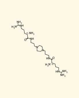 NC(N)NCCC[C@H](N)C(=O)NCCCN1CCN(CCCNC(=O)[C@@H](N)CCCNC(N)N)CC1